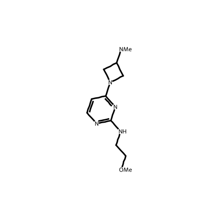 CNC1CN(c2ccnc(NCCOC)n2)C1